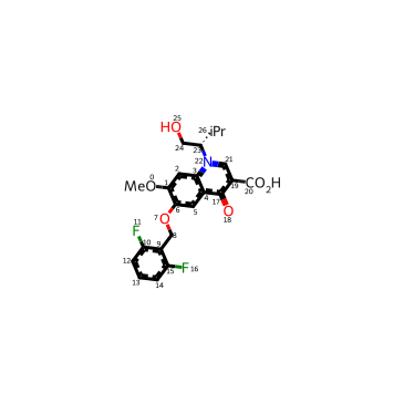 COc1cc2c(cc1OCc1c(F)cccc1F)c(=O)c(C(=O)O)cn2[C@H](CO)C(C)C